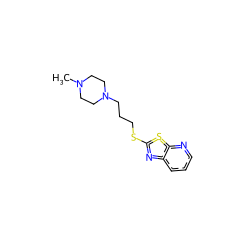 CN1CCN(CCCSc2nc3cccnc3s2)CC1